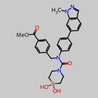 COC(=O)c1ccc(CN(C(=O)N2CCS(O)(O)CC2)c2ccc(-c3ccc4cnn(C)c4c3)cc2)cc1